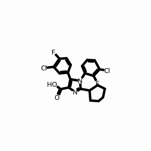 O=C(O)c1nc(C2CCCCC2)n(-c2cccc(Cl)c2F)c1-c1ccc(F)c(Cl)c1